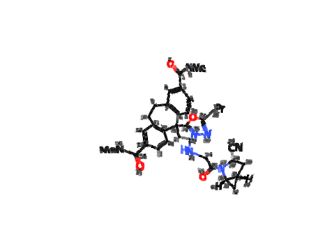 CNC(=O)c1ccc2c(c1)CCc1cc(C(=O)NC)ccc1C2(CCNCC(=O)N1[C@H](C#N)C[C@@H]2C[C@@H]21)c1nnc(C(C)C)o1